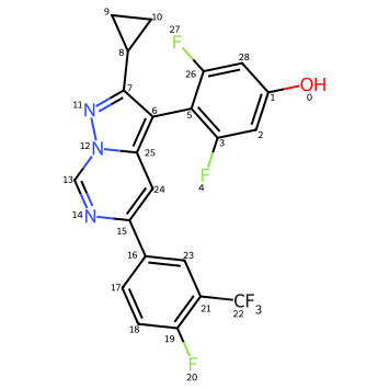 Oc1cc(F)c(-c2c(C3CC3)nn3cnc(-c4ccc(F)c(C(F)(F)F)c4)cc23)c(F)c1